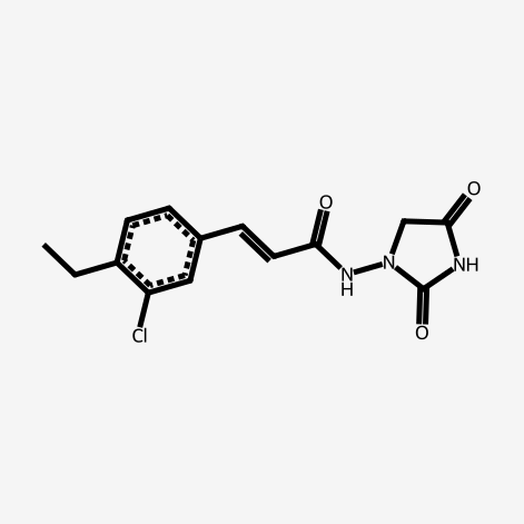 CCc1ccc(/C=C/C(=O)NN2CC(=O)NC2=O)cc1Cl